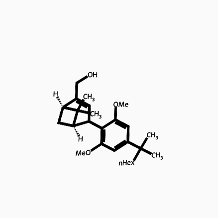 CCCCCCC(C)(C)c1cc(OC)c(C2C=C(CO)[C@@H]3C[C@H]2C3(C)C)c(OC)c1